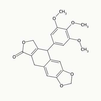 COc1cc(C2C3=C(Cc4cc5c(cc42)OCO5)C(=O)OC3)cc(OC)c1OC